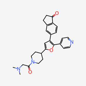 CN(C)CC(=O)N1CCC(c2cc(-c3ccc4c(c3)CCC4=O)c(-c3ccncc3)o2)CC1